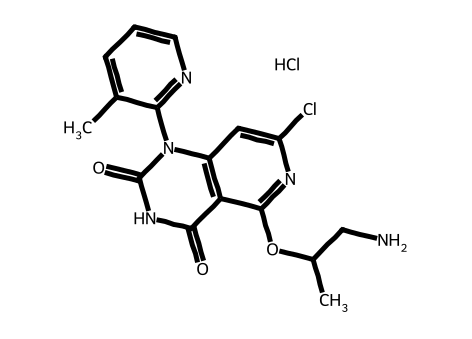 Cc1cccnc1-n1c(=O)[nH]c(=O)c2c(OC(C)CN)nc(Cl)cc21.Cl